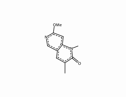 COc1cc2c(cn1)cc(C)c(=O)n2C